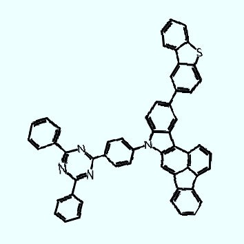 c1ccc(-c2nc(-c3ccccc3)nc(-c3ccc(-n4c5ccc(-c6ccc7sc8ccccc8c7c6)cc5c5c6cccc7c6c(cc54)-c4ccccc4-7)cc3)n2)cc1